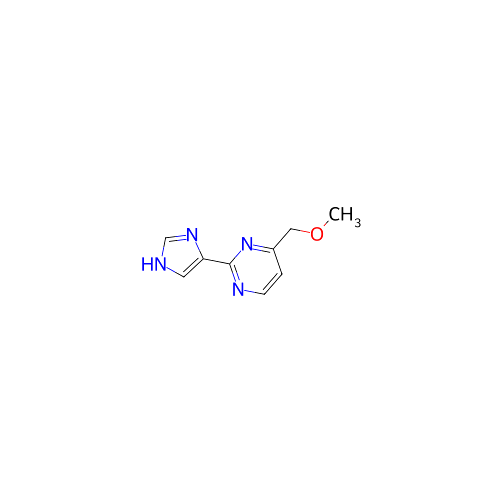 COCc1ccnc(-c2c[nH]cn2)n1